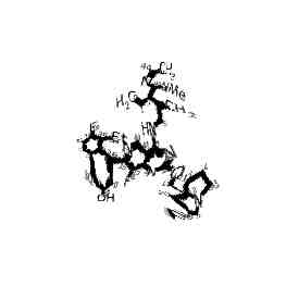 C=C/C(C(=C)CNc1nc(OC[C@@]23CCCN2C[C@H](F)C3)nc2c(F)c(-c3cc(O)cc4ccc(F)c(CC)c34)ncc12)=C(\N=C/C)NC